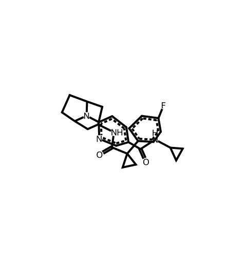 O=C(NC1CC1)c1ccc(N2C3CCC2CC(NC(=O)C2(c4ccc(F)cc4)CC2)C3)nc1